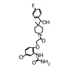 CC1(C(O)c2ccc(F)cc2)CCN(C(=O)COc2ccc(Cl)cc2NC(N)=O)CC1